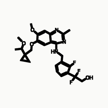 COc1cc2nc(C)nc(NCc3cccc(C(F)(F)CO)c3F)c2cc1OCC1(C(C)OC)CC1